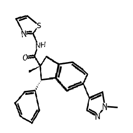 Cn1cc(-c2ccc3c(c2)[C@H](c2ccccc2)[C@](C)(C(=O)Nc2nccs2)C3)cn1